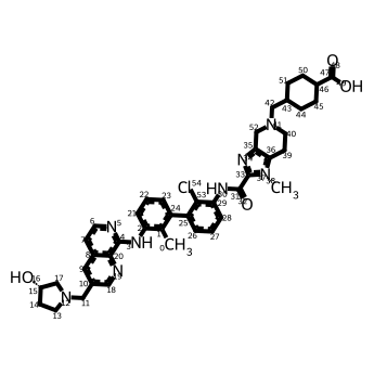 Cc1c(Nc2nccc3cc(CN4CC[C@H](O)C4)cnc23)cccc1-c1cccc(NC(=O)c2nc3c(n2C)CCN(CC2CCC(C(=O)O)CC2)C3)c1Cl